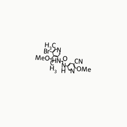 COc1ncc(NC(=O)Nc2cnc(C)c(Br)c2C(C)OC)cc1C#N